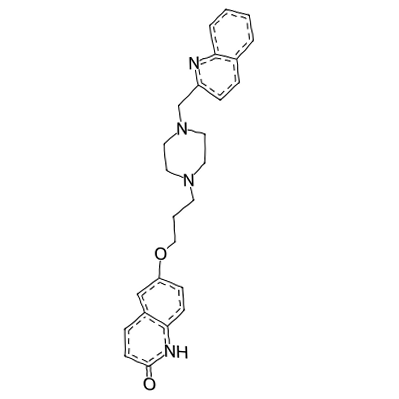 O=c1ccc2cc(OCCCN3CCN(Cc4ccc5ccccc5n4)CC3)ccc2[nH]1